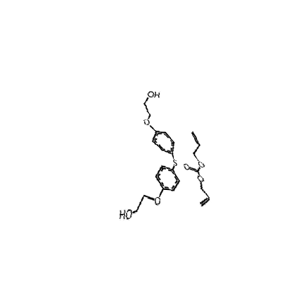 C=CCOC(=O)OCC=C.OCCOc1ccc(Sc2ccc(OCCO)cc2)cc1